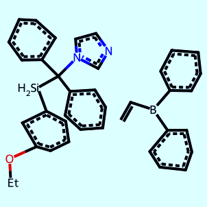 C=CB(c1ccccc1)c1ccccc1.CCOc1cccc([SiH2]C(c2ccccc2)(c2ccccc2)n2ccnc2)c1